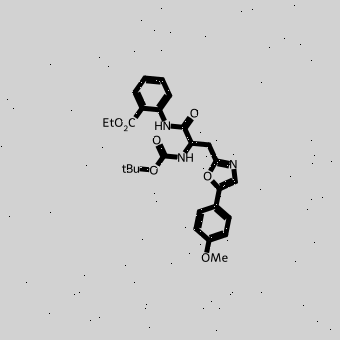 CCOC(=O)c1ccccc1NC(=O)C(Cc1ncc(-c2ccc(OC)cc2)o1)NC(=O)OC(C)(C)C